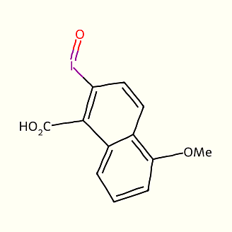 COc1cccc2c(C(=O)O)c(I=O)ccc12